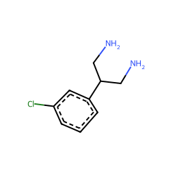 NCC(CN)c1cccc(Cl)c1